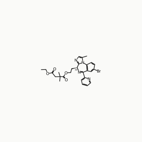 CCOC(=O)CC(C)(C)C(=O)OCC[C@@H]1N=C(c2ccccn2)c2cc(Br)ccc2-n2c(C)cnc21